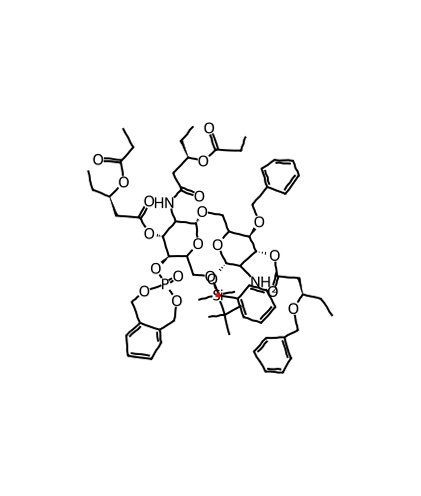 CCC(=O)O[C@H](CC)CC(=O)NC1[C@H](OCC2O[C@@H](O[Si](C)(C)C(C)(C)C)C(N)[C@@H](OC(=O)C[C@@H](CC)OCc3ccccc3)[C@@H]2OCc2ccccc2)OC(COCc2ccccc2)[C@@H](OP2(=O)OCc3ccccc3CO2)[C@@H]1OC(=O)C[C@@H](CC)OC(=O)CC